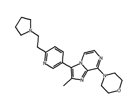 Cc1nc2c(N3CCOCC3)nccn2c1-c1ccc(CCN2CCCC2)nc1